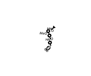 COc1ccc(NC(=O)C2CC2)cc1-c1ccc(C(=O)Nc2ccc(CN3CCS(=O)(=O)CC3)cc2)cc1